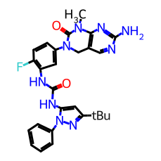 CN1C(=O)N(c2ccc(F)c(NC(=O)Nc3cc(C(C)(C)C)nn3-c3ccccc3)c2)Cc2cnc(N)nc21